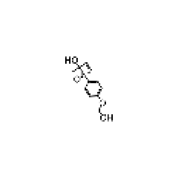 CC1(O)C=C[N+]1([O-])c1ccc(OCO)cc1